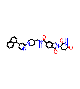 O=C1CCC(N2Cc3cc(C(=O)NCC4CCN(c5cc(-c6cccc7ccccc67)ccn5)CC4)ccc3C2=O)C(=O)N1